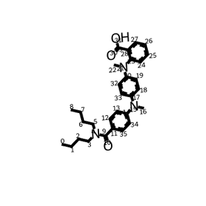 CCCCN(CCCC)C(=O)c1ccc(N(C)c2ccc(N(C)c3ccccc3C(=O)O)cc2)cc1